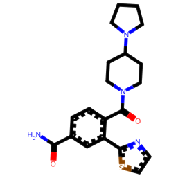 NC(=O)c1ccc(C(=O)N2CCC(N3CCCC3)CC2)c(-c2nccs2)c1